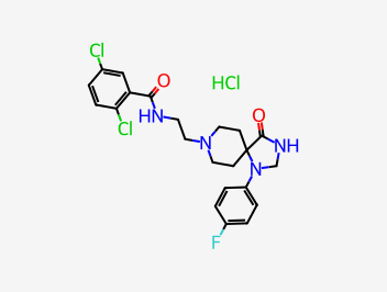 Cl.O=C(NCCN1CCC2(CC1)C(=O)NCN2c1ccc(F)cc1)c1cc(Cl)ccc1Cl